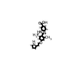 Cc1cc(OCCC2CCCN2)cc(C)c1-c1nc2ccc(C(=O)O)cc2[nH]1